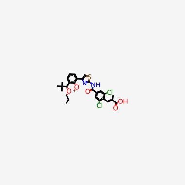 CCCO[C@H](c1cccc(-c2csc(NC(=O)c3cc(Cl)c(C=C(C)C(=O)O)c(Cl)c3)n2)c1OC)C(C)(C)C